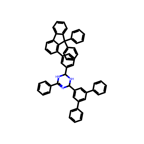 c1ccc(C2=NC(c3cc(-c4ccccc4)cc(-c4ccccc4)c3)NC(c3cccc(-c4cccc5c4C(c4ccccc4)(c4ccccc4)c4ccccc4-5)c3)N2)cc1